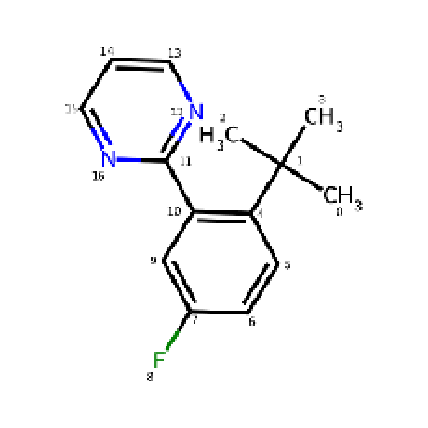 CC(C)(C)c1ccc(F)cc1-c1ncccn1